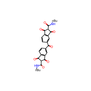 CCCCNC(=O)C1C(=O)c2ccc(C(=O)c3ccc4c(c3)C(=O)C(C(=O)NCCCC)C4=O)cc2C1=O